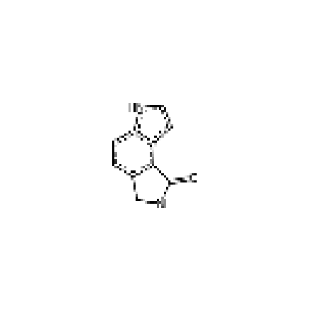 O=C1NCc2ccc3[nH]ccc3c21